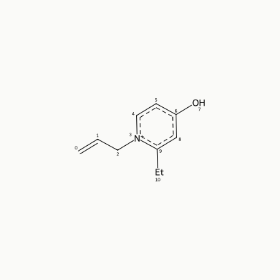 C=CC[n+]1ccc(O)cc1CC